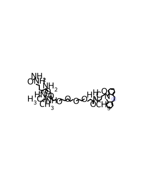 CC(CC(C)C(=O)N1Cc2ccccc2/C=C\c2ccccc21)NC(=O)CCOCCOCCOCCOCCC(=O)N[C@H](C(=O)N[C@@H](CCCNC(N)=O)C(N)=O)C(C)C